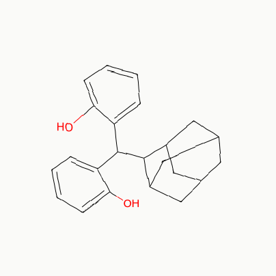 Oc1ccccc1C(c1ccccc1O)C1C2CC3CC(C2)CC1C3